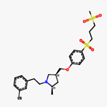 C[C@@H]1C[C@H](COc2ccc(S(=O)(=O)CCCS(C)(=O)=O)cc2)CN1CCc1cccc(C#N)c1